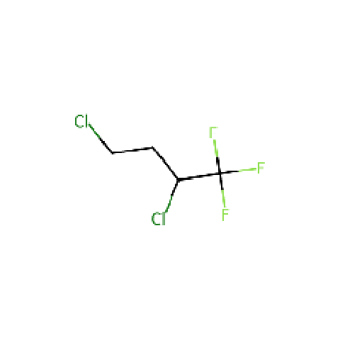 FC(F)(F)C(Cl)CCCl